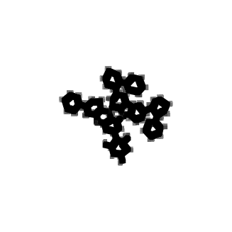 Cc1cc(C)c(-c2cc3c4c(c2)-n2c5ccc(-c6ccccc6-c6ccccc6)cc5c5cc(-c6ccccc6-c6ccccc6)cc(c52)B4c2ccc(-c4ccccc4)cc2O3)c(C)c1